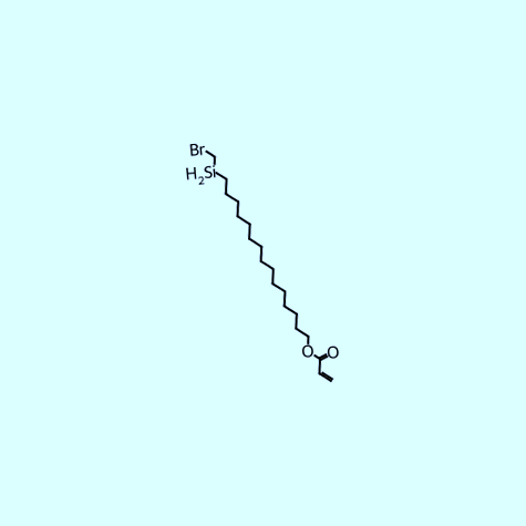 C=CC(=O)OCCCCCCCCCCCCCCC[SiH2]CBr